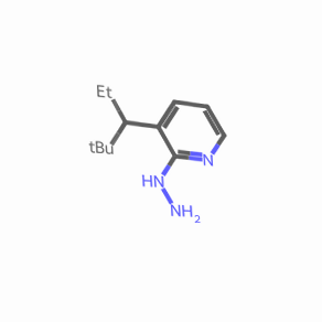 CCC(c1cccnc1NN)C(C)(C)C